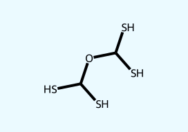 SC(S)OC(S)S